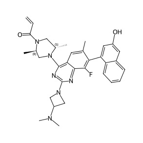 C=CC(=O)N1C[C@H](C)N(c2nc(N3CC(N(C)C)C3)nc3c(F)c(-c4cc(O)cc5ccccc45)c(C)cc23)C[C@H]1C